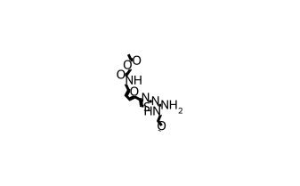 COCCNC(N)=Nc1nc(-c2ccc(CNC(=O)COC(C)=O)o2)cs1